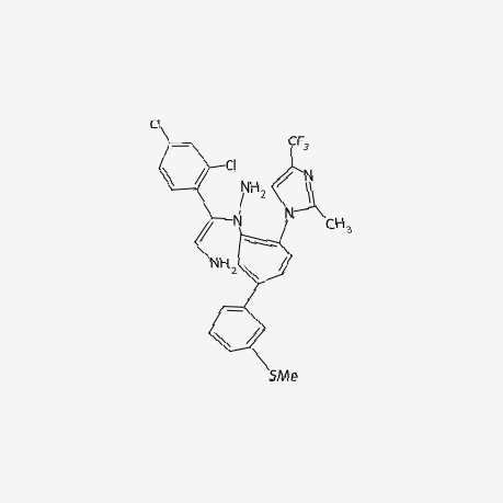 CSc1cccc(-c2ccc(-n3cc(C(F)(F)F)nc3C)c(N(N)/C(=C\N)c3ccc(Cl)cc3Cl)c2)c1